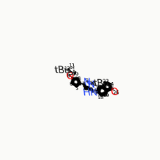 CC(C)(C)n1nc([C@H]2CC[C@@H](O[Si](C)(C)C(C)(C)C)C2)cc1Nc1ccc2c(c1)CCC2=O